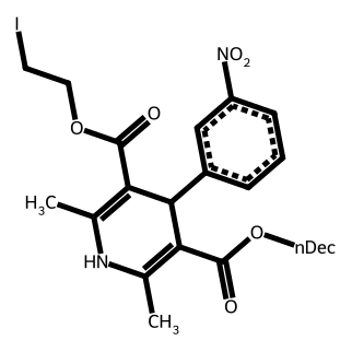 CCCCCCCCCCOC(=O)C1=C(C)NC(C)=C(C(=O)OCCI)C1c1cccc([N+](=O)[O-])c1